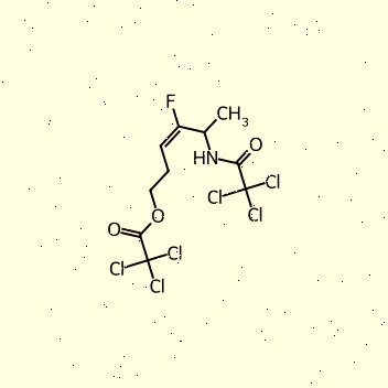 CC(NC(=O)C(Cl)(Cl)Cl)/C(F)=C\CCOC(=O)C(Cl)(Cl)Cl